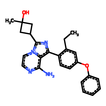 CCc1cc(Oc2ccccc2)ccc1-c1nc(C2CC(C)(O)C2)n2ccnc(N)c12